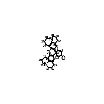 O=C1C=CC2(O1)c1cc3c4c(c1Oc1c2cc2c5c1CCCN5CCC2)CCCN4CCC3